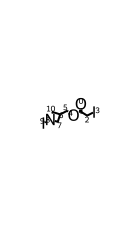 O=C(CI)OCC1CN(I)C1